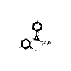 CCOC(=O)[C@H]1[C@H](c2ccccc2)[C@H]1C1CC=CC=C1F